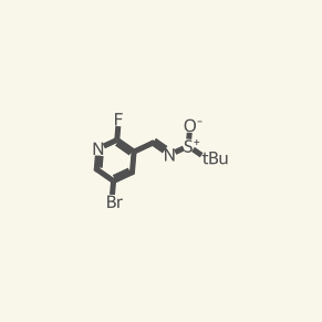 CC(C)(C)[S+]([O-])N=Cc1cc(Br)cnc1F